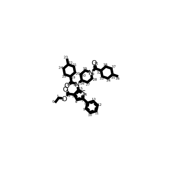 CCOC(=O)c1cc(-c2ccccc2)sc1N(C(=O)C1CCC(C)CC1)C1CCN(C(=O)C2CCC(C)CC2)CC1